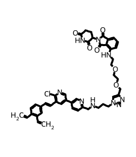 C=Cc1ccc(/C=C/c2cc(-c3ccc(CNCCCn4cc(COCCOCCNc5cccc6c5C(=O)N(C5CCC(=O)NC5=O)C6=O)nn4)nc3)cnc2Cl)cc1C=C